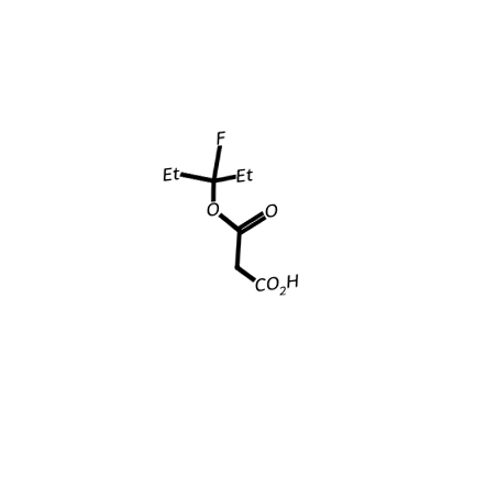 CCC(F)(CC)OC(=O)CC(=O)O